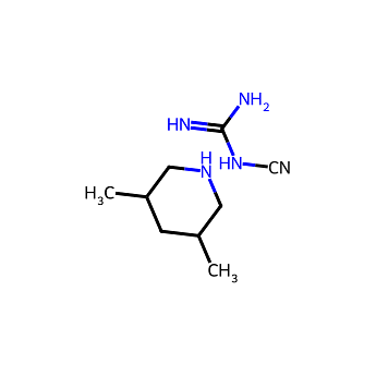 CC1CNCC(C)C1.N#CNC(=N)N